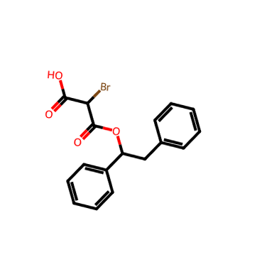 O=C(O)C(Br)C(=O)OC(Cc1ccccc1)c1ccccc1